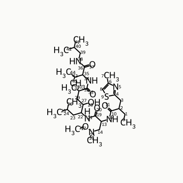 CCC(Cc1nc(C)cs1)C(=O)NC(CN(C)OC)C(=O)NC(CC(C)C)C(O)CC(C)C(=O)NC(C(=O)NCC(C)C)C(C)C